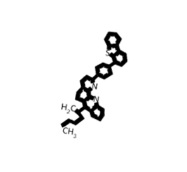 C=C(/C=C\C=C/C)c1c2ccccc2nc2c1ccc1ccc(-c3ccc(-c4cccc5c4sc4ccccc45)cc3)nc12